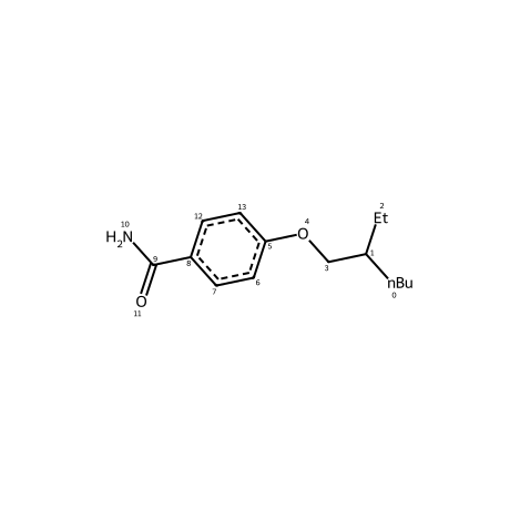 CCCCC(CC)COc1ccc(C(N)=O)cc1